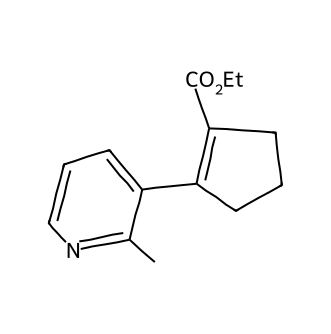 CCOC(=O)C1=C(c2cccnc2C)CCC1